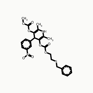 COC(=O)OC1=C(C)NC(C)=C(OC(=O)OCCSCc2ccccc2)C1c1cccc([N+](=O)[O-])c1